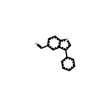 O=Cc1ccc2occ(-c3ccccc3)c2c1